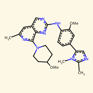 COc1cc(-c2cnc(C)n2C)ccc1Nc1ncc2cc(C)nc(N3CCC(OC)CC3)c2n1